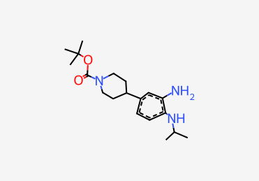 CC(C)Nc1ccc(C2CCN(C(=O)OC(C)(C)C)CC2)cc1N